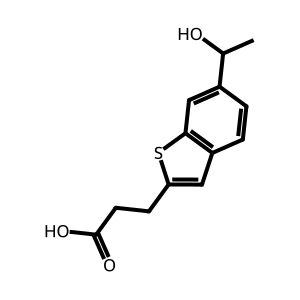 CC(O)c1ccc2cc(CCC(=O)O)sc2c1